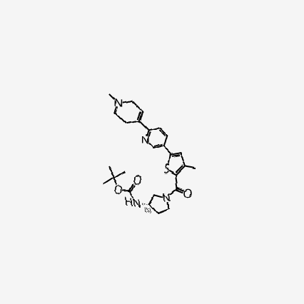 Cc1cc(-c2ccc(C3=CCN(C)CC3)nc2)sc1C(=O)N1CC[C@H](NC(=O)OC(C)(C)C)C1